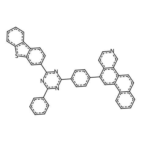 c1ccc(-c2nc(-c3ccc(-c4cc5c6ccccc6ccc5c5cnccc45)cc3)nc(-c3ccc4c(c3)sc3ccccc34)n2)cc1